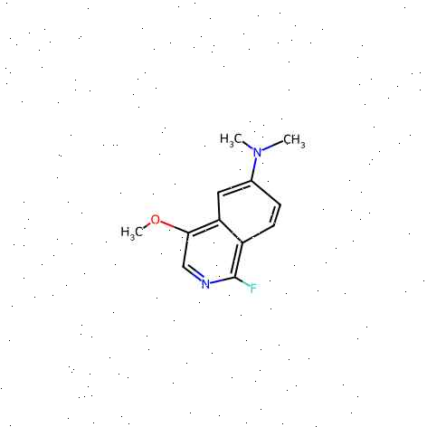 COc1cnc(F)c2ccc(N(C)C)cc12